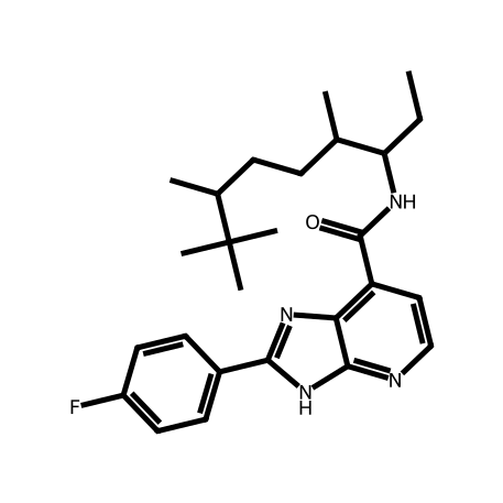 CCC(NC(=O)c1ccnc2[nH]c(-c3ccc(F)cc3)nc12)C(C)CCC(C)C(C)(C)C